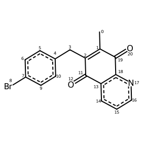 CC1=C(Cc2ccc(Br)cc2)C(=O)c2cccnc2C1=O